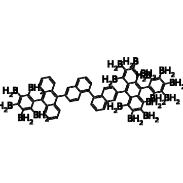 Bc1c(B)c(B)c(-c2c3ccccc3c(-c3ccc4c(-c5cccc6cc(-c7c8c(B)c(B)c(B)c(B)c8c(-c8c(B)c(B)c(B)c(B)c8B)c8c(B)c(B)c(B)c(B)c78)ccc56)cccc4c3)c3ccccc23)c(B)c1B